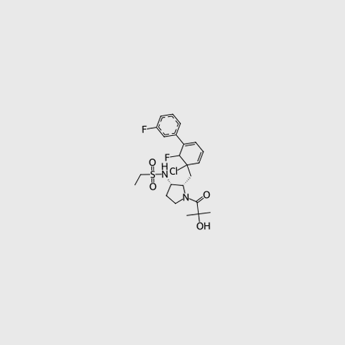 CCS(=O)(=O)N[C@H]1CCN(C(=O)C(C)(C)O)[C@H]1CC1(Cl)C=CC=C(c2cccc(F)c2)C1F